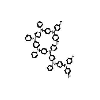 Fc1ccc(N(c2ccc(F)cc2)c2ccc(N(c3ccccc3)c3ccc(N(c4ccccc4)c4ccc(N(c5ccccc5)c5ccc(N(c6ccccc6)c6ccc(N(c7ccccc7)c7ccc(N(c8ccc(F)cc8)c8ccc(F)cc8)cc7)cc6)cc5)cc4)cc3)cc2)cc1